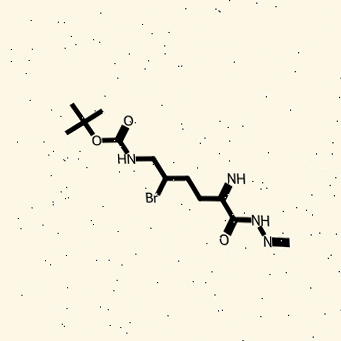 C=NNC(=O)C(=N)CCC(Br)CNC(=O)OC(C)(C)C